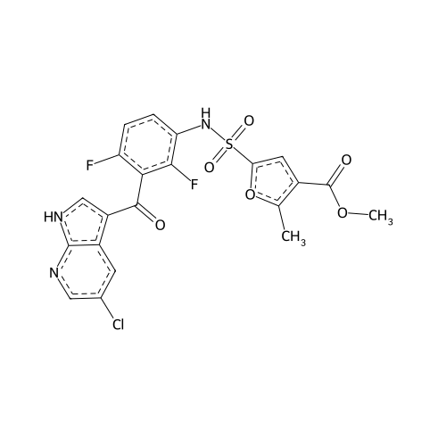 COC(=O)c1cc(S(=O)(=O)Nc2ccc(F)c(C(=O)c3c[nH]c4ncc(Cl)cc34)c2F)oc1C